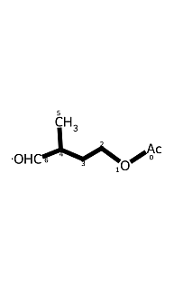 CC(=O)OCCC(C)[C]=O